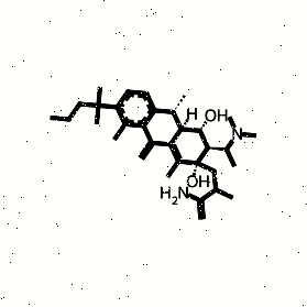 C=C1C2=C(C)[C@](O)(CC(C)C(=C)N)[C@H](C(C)N(C)C)[C@@H](O)[C@@H]2[C@@H](C)c2ccc(C(C)(C)CCC)c(C)c21